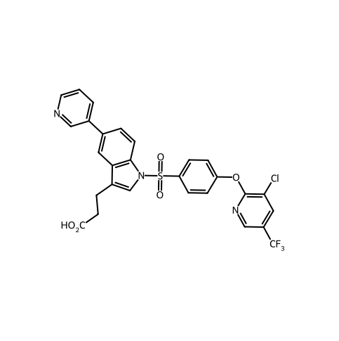 O=C(O)CCc1cn(S(=O)(=O)c2ccc(Oc3ncc(C(F)(F)F)cc3Cl)cc2)c2ccc(-c3cccnc3)cc12